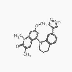 COc1cc(N2CCCc3ccc(-c4cn[nH]c4)cc32)c2cc(C)c(=O)n(C)c2c1